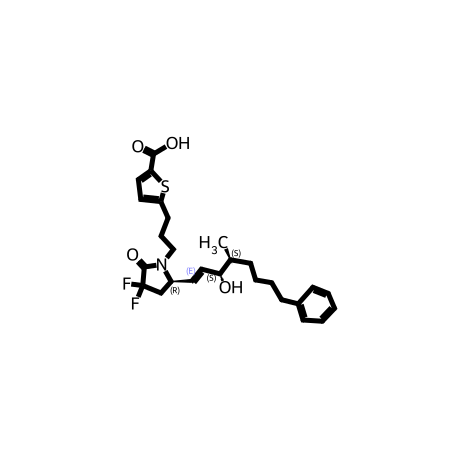 C[C@@H](CCCCc1ccccc1)[C@H](O)/C=C/[C@H]1CC(F)(F)C(=O)N1CCCc1ccc(C(=O)O)s1